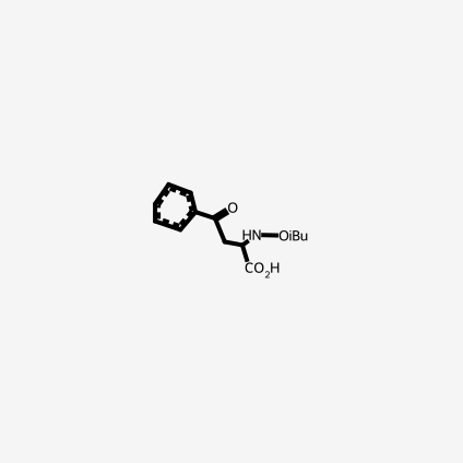 CC(C)CONC(CC(=O)c1ccccc1)C(=O)O